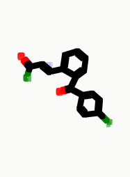 O=C(Cl)/C=C/c1ccccc1C(=O)c1ccc(F)cc1